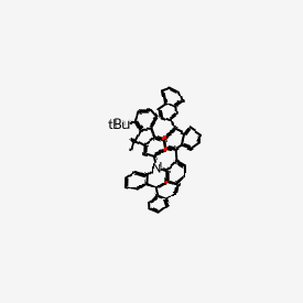 CC(C)(C)c1cccc2c1C(C)(C)c1cc(N(c3ccccc3-c3cccc4ccccc34)c3ccccc3-c3ccc(-c4ccc5ccccc5c4)c4ccccc34)ccc1-2